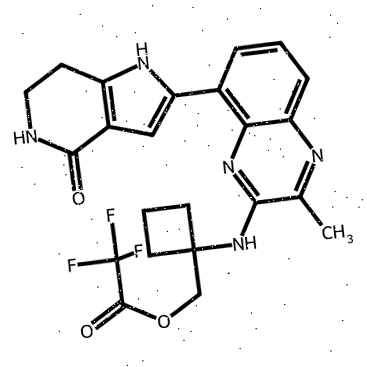 Cc1nc2cccc(-c3cc4c([nH]3)CCNC4=O)c2nc1NC1(COC(=O)C(F)(F)F)CCC1